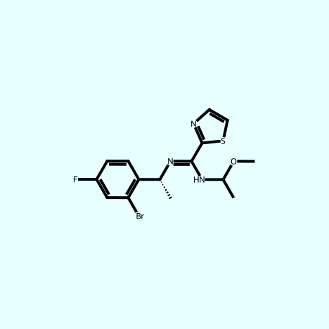 COC(C)N/C(=N\[C@H](C)c1ccc(F)cc1Br)c1nccs1